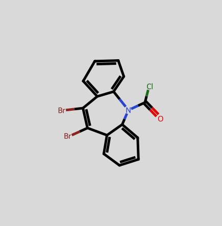 O=C(Cl)N1c2ccccc2C(Br)=C(Br)c2ccccc21